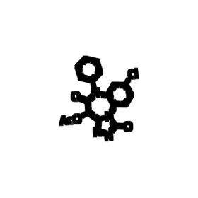 CC(=O)Oc1c2nnc(=O)n-2c2ccc(Cl)cc2n(-c2ccccc2)c1=O